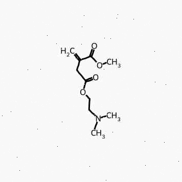 C=C(CC(=O)OCCN(C)C)C(=O)OC